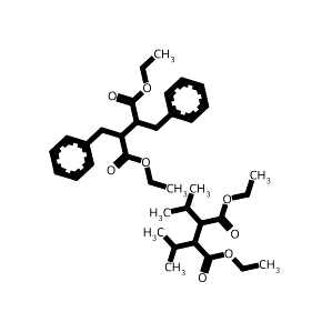 CCOC(=O)C(C(C)C)C(C(=O)OCC)C(C)C.CCOC(=O)C(Cc1ccccc1)C(Cc1ccccc1)C(=O)OCC